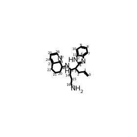 C=CCC(c1nc2ccccc2[nH]1)C(CCCN)N[C@H]1CCCc2cccnc21